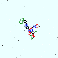 O=CN1CCC(n2c(=O)n(Cc3ccc4c(ccn4Cc4ccc(Cl)c(Cl)c4)c3)c(=O)c3cc(OC(CF)CF)c(F)cc32)CC1